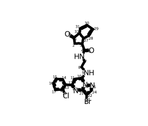 O=C1CC(C(=O)NCCNc2cc(-c3ccccc3Cl)nc3c(Br)cnn23)C2C=CC=CC12